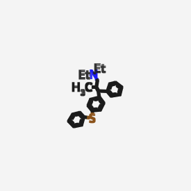 CCN(CC)CC(C)C(c1ccccc1)c1ccc(Sc2ccccc2)cc1